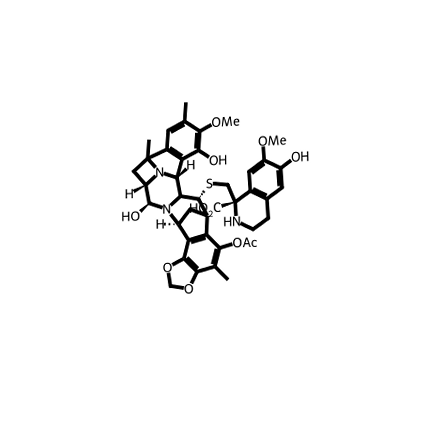 COc1cc2c(cc1O)CCN[C@@]2(CS[C@@H]1C2C[C@@H](c3c4c(c(C)c(OC(C)=O)c32)OCO4)N2C1[C@H]1c3c(cc(C)c(OC)c3O)C3(C)C[C@@H]([C@@H]2O)N13)C(=O)O